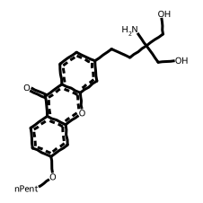 CCCCCOc1ccc2c(=O)c3ccc(CCC(N)(CO)CO)cc3oc2c1